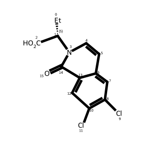 CC[C@@H](C(=O)O)n1ccc2cc(Cl)c(Cl)cc2c1=O